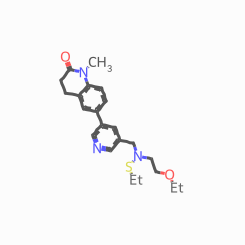 CCOCCN(Cc1cncc(-c2ccc3c(c2)CCC(=O)N3C)c1)SCC